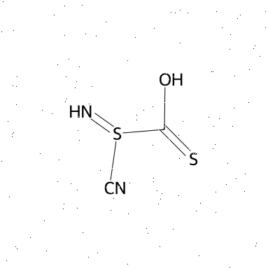 N#CS(=N)C(O)=S